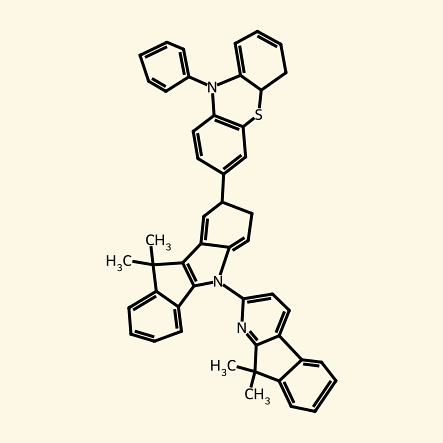 CC1(C)c2ccccc2-c2ccc(-n3c4c(c5c3=CCC(c3ccc6c(c3)SC3CC=CC=C3N6c3ccccc3)C=5)C(C)(C)c3ccccc3-4)nc21